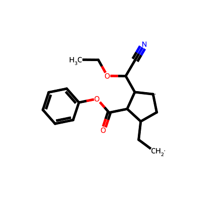 [CH2]CC1C[CH]C(C(C#N)OCC)C1C(=O)Oc1ccccc1